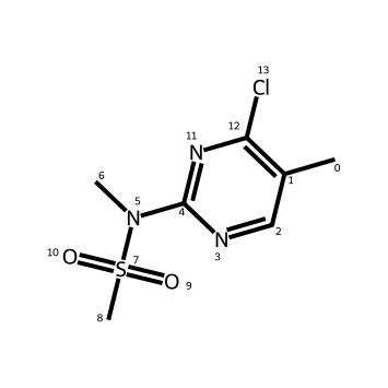 Cc1cnc(N(C)S(C)(=O)=O)nc1Cl